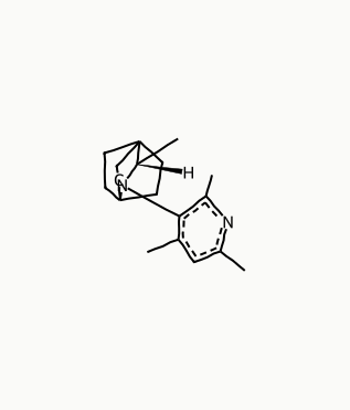 Cc1cc(C)c(N2[C@@H](C)C34CCC2(CC3)CC4)c(C)n1